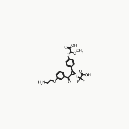 COC(Oc1ccc(C2CC2C(=O)c2cccc(OCCN)c2)cc1)C(=O)O.O=C(O)C(F)(F)F